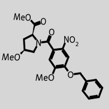 COC(=O)[C@@H]1C[C@H](OC)CN1C(=O)c1cc(OC)c(OCc2ccccc2)cc1[N+](=O)[O-]